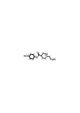 CC(C)CC[SiH]1CCC(C(=O)Oc2ccc(C#N)cc2)CC1